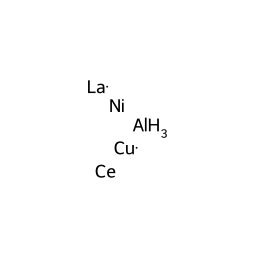 [AlH3].[Ce].[Cu].[La].[Ni]